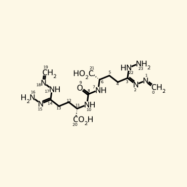 C=N/N=C(/CC[C@H](NC(=O)N[C@@H](CC/C(=N/N)NN=C)C(=O)O)C(=O)O)NN